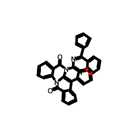 O=c1c2ccccc2n2c(=O)c3ccccc3c(-c3ccccc3)c2n1-c1nc(-c2ccccc2)c2ccccc2n1